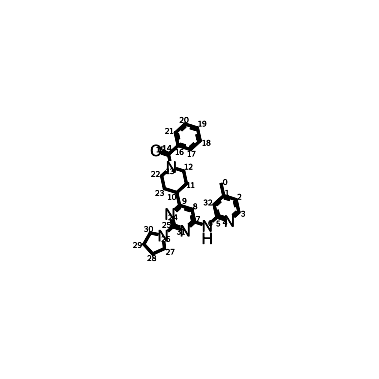 Cc1ccnc(Nc2cc(C3CCN(C(=O)c4ccccc4)CC3)nc(N3CCCC3)n2)c1